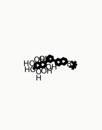 CC1(C)CB(c2ccc3cc(-c4cccc(-c5c(O)c(O)c6c(O)c(O)c(O)c(O)c6c5O)c4)ccc3c2)CC1(C)C